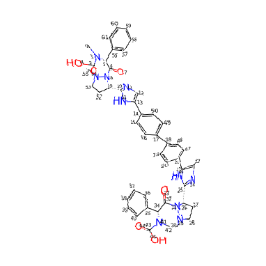 CN(C(=O)O)[C@@H](C(=O)N1[C@H](c2ncc(-c3ccc(-c4ccc(-c5cnc([C@@H]6CCN(C)N6C(=O)[C@@H](c6ccccc6)N(C)C(=O)O)[nH]5)cc4)cc3)[nH]2)CCN1C)c1ccccc1